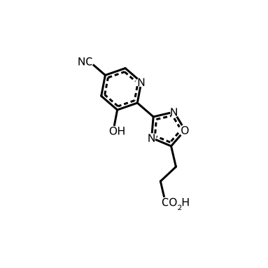 N#Cc1cnc(-c2noc(CCC(=O)O)n2)c(O)c1